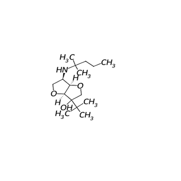 CCCC(C)(C)N[C@@H]1CO[C@H]2[C@@H]1OCC2(O)C(C)(C)C